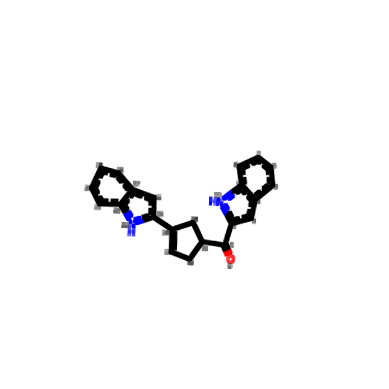 O=C(c1cc2ccccc2[nH]1)C1CC=C(c2cc3ccccc3[nH]2)C1